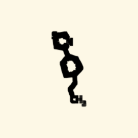 CCCc1ccc(-c2cscn2)cc1